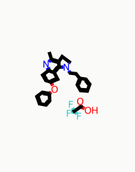 Cc1nc2ccc(Oc3ccccc3)cc2c2c1CCN2CCc1ccccc1.O=C(O)C(F)(F)F